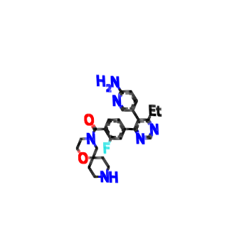 CCc1ncnc(-c2ccc(C(=O)N3CCOC4(CCNCC4)C3)c(F)c2)c1-c1ccc(N)nc1